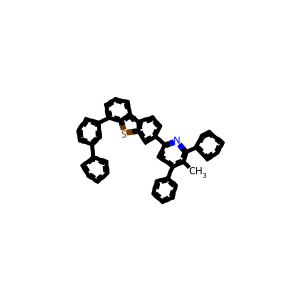 Cc1c(-c2ccccc2)cc(-c2ccc3c(c2)sc2c(-c4cccc(-c5ccccc5)c4)cccc23)nc1-c1ccccc1